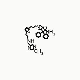 Cc1cnc(CNCCCc2ccc(CCCN3CCC(C(C(N)=O)(c4ccccc4)c4ccccc4)C3)s2)cn1